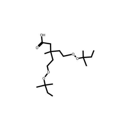 CCC(C)(C)OOCCC(C)(CCOOC(C)(C)CC)CC(=O)O